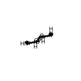 CC(COCC(C)OC(=O)NCCCCCCN1CCCNC1C)OC(=O)NCCCCCCN1CCCNC1C